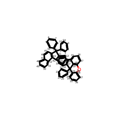 c1ccc(C2(c3ccccc3)c3cc(-c4cccc5c4C(c4ccccc4)(c4ccccc4)c4ccccc4O5)ccc3-c3c2ccc2ccccc32)cc1